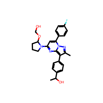 Cc1nn2c(-c3ccc(F)cc3)cc(N3CCCC3OCO)nc2c1-c1ccc(C(C)O)cc1